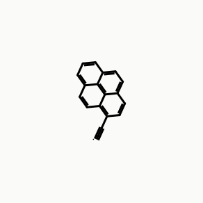 [C]#Cc1ccc2ccc3cccc4ccc1c2c34